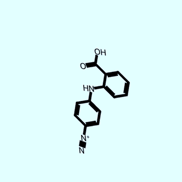 N#[N+]c1ccc(Nc2ccccc2C(=O)O)cc1